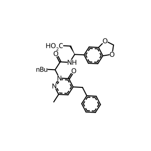 CCCCC(C(=O)N[C@@H](CC(=O)O)c1ccc2c(c1)OCO2)n1nc(C)cc(Cc2ccccc2)c1=O